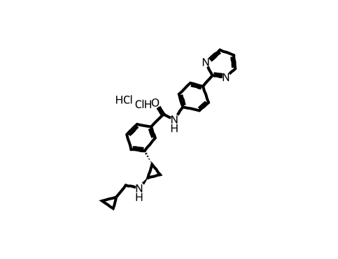 Cl.Cl.O=C(Nc1ccc(-c2ncccn2)cc1)c1cccc([C@@H]2C[C@H]2NCC2CC2)c1